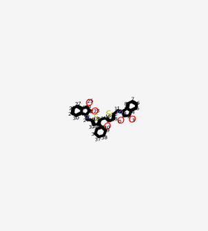 O=C1C(=O)c2ccccc2/C1=C/c1cc2c(s1)-c1sc(/C=C3\C(=O)C(=O)c4ccccc43)cc1C1(CCCCC1)O2